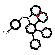 O=[N+]([O-])c1ccc(NN(c2ccccc2)c2ccc(-c3ccccc3)c(-c3ccccc3)c2-c2ccccc2)cc1